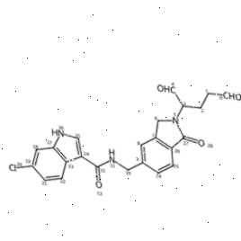 O=CCCC(C=O)N1Cc2cc(CNC(=O)c3c[nH]c4cc(Cl)ccc34)ccc2C1=O